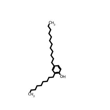 CCCCCCCCCCCCc1ccc(O)c(CCCCCCCCC)c1